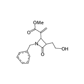 C=C(C(=O)OC)C1C(CCO)C(=O)N1Cc1ccccc1